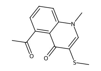 CSc1cn(C)c2cccc(C(C)=O)c2c1=O